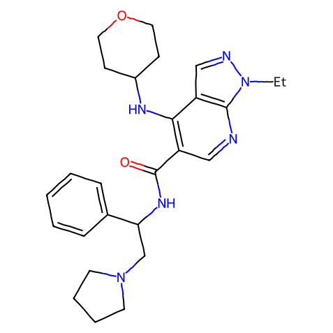 CCn1ncc2c(NC3CCOCC3)c(C(=O)NC(CN3CCCC3)c3ccccc3)cnc21